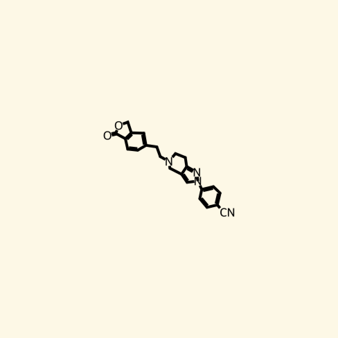 N#Cc1ccc(-n2cc3c(n2)CCN(CCc2ccc4c(c2)COC4=O)C3)cc1